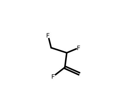 C=C(F)C(F)CF